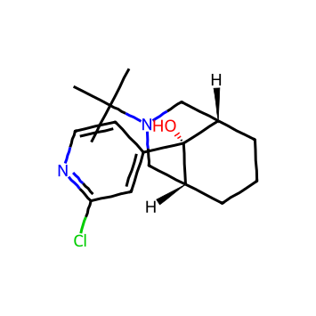 CC(C)(C)N1C[C@H]2CCC[C@@H](C1)[C@]2(O)c1ccnc(Cl)c1